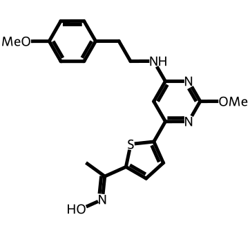 COc1ccc(CCNc2cc(-c3ccc(C(C)=NO)s3)nc(OC)n2)cc1